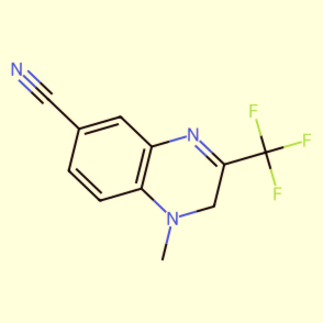 CN1CC(C(F)(F)F)=Nc2cc(C#N)ccc21